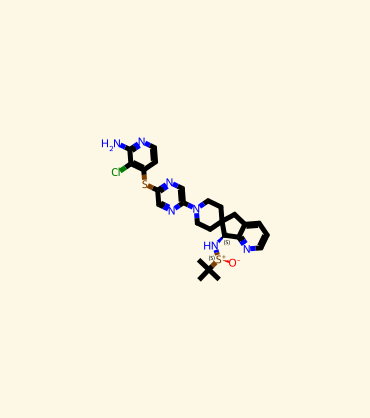 CC(C)(C)[S@@+]([O-])N[C@@H]1c2ncccc2CC12CCN(c1cnc(Sc3ccnc(N)c3Cl)cn1)CC2